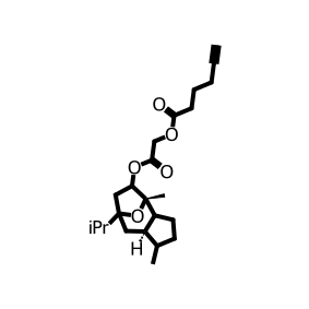 C#CCCCC(=O)OCC(=O)OC1CC2(C(C)C)C[C@@H]3C(C)CCC3[C@]1(C)O2